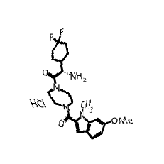 COc1ccc2cc(C(=O)N3CCN(C(=O)[C@@H](N)C4CCC(F)(F)CC4)CC3)n(C)c2c1.Cl